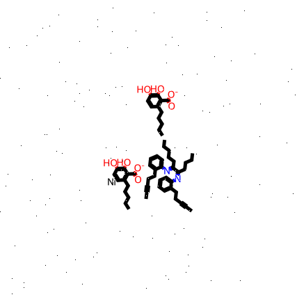 CC#CCCc1ccccc1N=C(CCCC)C(CCCCC)=Nc1ccccc1CCC#CC.CCCCCc1ccc(O)c(O)c1C(=O)[O-].CCCCCc1ccc(O)c(O)c1C(=O)[O-].[Ni+2]